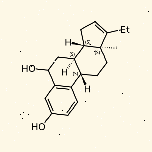 CCC1=CC[C@H]2[C@@H]3CC(O)c4cc(O)ccc4[C@H]3CC[C@]12C